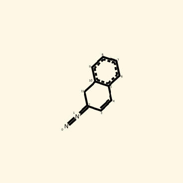 [N-]=[N+]=C1C=Cc2ccccc2C1